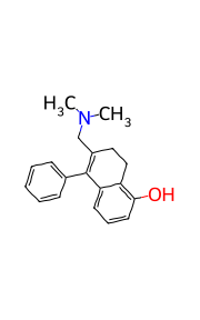 CN(C)CC1=C(c2ccccc2)c2cccc(O)c2CC1